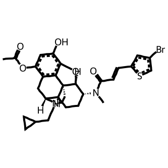 CC(=O)Oc1cc(O)c2c3c1C[C@@H]1[C@@H]4CC[C@@H](N(C)C(=O)/C=C/c5cc(Br)cs5)[C@H](O2)[C@]34CCN1CC1CC1